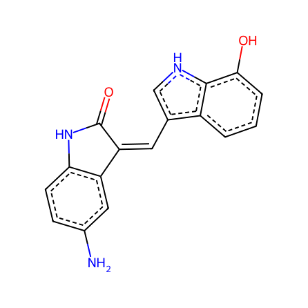 Nc1ccc2c(c1)C(=Cc1c[nH]c3c(O)cccc13)C(=O)N2